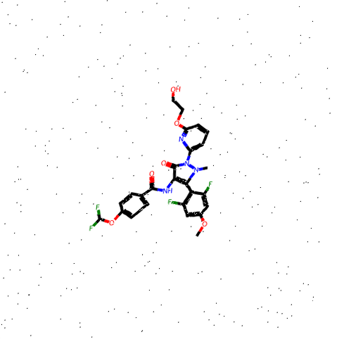 COc1cc(F)c(-c2c(NC(=O)c3ccc(OC(F)F)cc3)c(=O)n(-c3cccc(OCCO)n3)n2C)c(F)c1